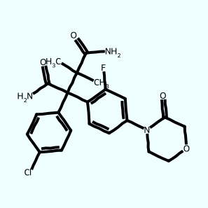 CC(C)(C(N)=O)C(C(N)=O)(c1ccc(Cl)cc1)c1ccc(N2CCOCC2=O)cc1F